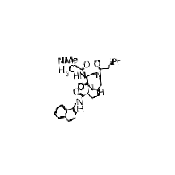 CN[C@@H](C)C(=O)N[C@H]1CN(C(=O)CC(C)C)CC[C@H]2CC[C@@H](C(=O)NCc3cccc4ccccc34)N2C1=O